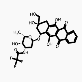 C[C@@H]1O[C@@H](O[C@H]2C[C@](O)(CO)Cc3c(O)c4c(c(O)c32)C(=O)c2ccccc2C4=O)C[C@H](NC(=O)C(F)(F)F)[C@@H]1O